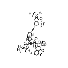 C[C@H](NC(=O)c1c(NC(=O)OC(C)(C)C)nn2ccc(C#Cc3cc4c(c(C(F)(F)F)c3)C(=O)N([C@@H](C)C3CC3)C4)nc12)c1cc2cccc(Cl)c2c(=O)n1-c1ccccc1